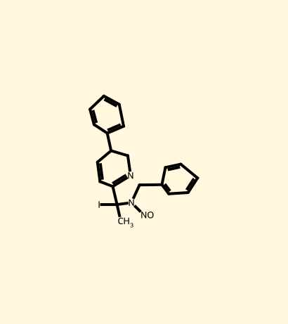 CC(I)(C1=NCC(c2ccccc2)C=C1)N(Cc1ccccc1)N=O